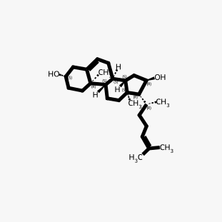 CC(C)=CCC[C@@H](C)[C@H]1[C@H](O)C[C@H]2[C@@H]3CC=C4C[C@@H](O)CC[C@]4(C)[C@H]3CC[C@]12C